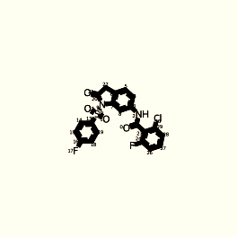 O=C(Nc1ccc2c(c1)N(S(=O)(=O)c1ccc(F)cc1)C(=O)C2)c1c(F)cccc1Cl